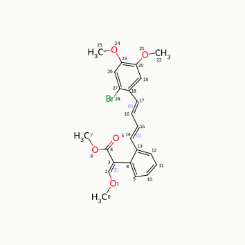 CO/C=C(/C(=O)OC)c1ccccc1/C=C/C=C/c1cc(OC)c(OC)cc1Br